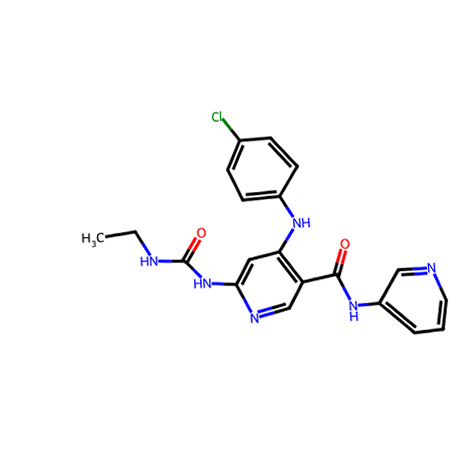 CCNC(=O)Nc1cc(Nc2ccc(Cl)cc2)c(C(=O)Nc2cccnc2)cn1